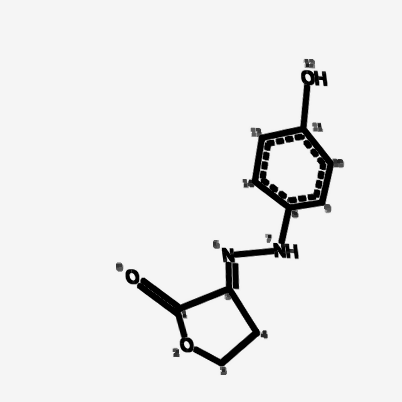 O=C1OCCC1=NNc1ccc(O)cc1